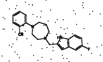 N#Cc1ccccc1N1CCCN(Cc2cc3cc(F)ccc3[nH]2)CC1